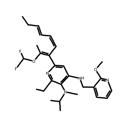 CC/C=C/C=C\C(=C(/C)OC(F)F)c1cc(NCc2cccnc2OC)c(N(C)C(C)C)c(CC)n1